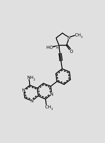 Cc1nc(-c2cccc(C#C[C@]3(O)CCN(C)C3=O)c2)cc2c(N)ncnc12